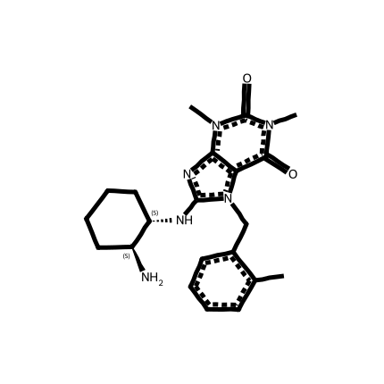 Cc1ccccc1Cn1c(N[C@H]2CCCC[C@@H]2N)nc2c1c(=O)n(C)c(=O)n2C